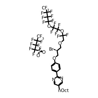 CCCCCCCCc1cnc(-c2ccc(OC[C@@H](Br)COCC(F)(F)OC(F)(F)C(F)(F)OC(F)(F)C(F)(F)C(F)(F)C(F)(F)F)cc2)nc1.O=S(=O)(F)C(F)(F)C(F)(F)C(F)(F)C(F)(F)F